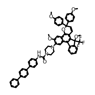 COc1ccc(C2(c3ccc(OC)cc3)C=Cc3c4c(c5cc(N6CCN(C(=O)Nc7ccc(-c8ccc(-c9ccccc9)cc8)cc7)CC6)c(OC)cc5c3O2)-c2ccccc2C4(OC)C(F)(F)F)cc1